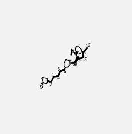 COCCCCCOCc1cc(C)on1